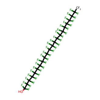 OC(F)(F)C(F)(F)C(F)(F)C(F)(F)C(F)(F)C(F)(F)C(F)(F)C(F)(F)C(F)(F)C(F)(F)C(F)(F)C(F)(F)C(F)(F)C(F)(F)C(F)(F)C(F)(F)C(F)(F)C(F)(F)C(F)(F)C(F)(F)C(F)(F)C(F)(F)F